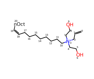 C=CC[N+](CCO)(CCO)CCCCCCCC/C=C\CCCCCCCC